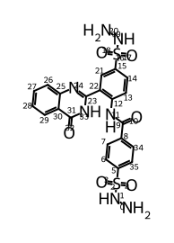 NNS(=O)(=O)c1ccc(C(=O)Nc2ccc(S(=O)(=O)NN)cc2-c2nc3ccccc3c(=O)[nH]2)cc1